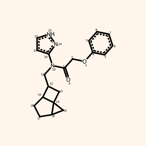 O=C(COc1ccccc1)N(CC1CC23CC2CCC13)c1cc[nH]n1